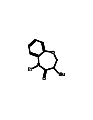 CCN1C(=O)C(C(C)(C)C)COc2ccccc21